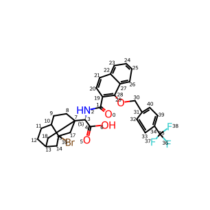 O=C(N[C@H](C(=O)O)C12CCC3CCC(CC3(Br)C1)C2)c1ccc2ccccc2c1OCc1ccc(C(F)(F)F)cc1